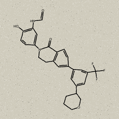 O=CNc1cc(N2CCc3cc(-c4cc(C5CCCOC5)cc(C(F)(F)F)c4)ccc3C2=O)ccc1O